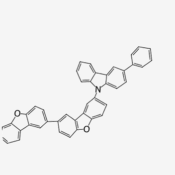 c1ccc(-c2ccc3c(c2)c2ccccc2n3-c2ccc3oc4ccc(-c5ccc6oc7ccccc7c6c5)cc4c3c2)cc1